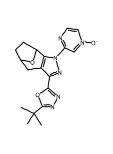 CC(C)(C)c1nnc(-c2nn(-c3c[n+]([O-])ccn3)c3c2CC2CCC3O2)o1